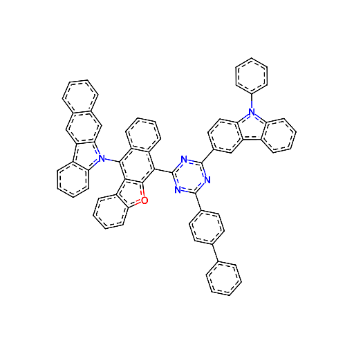 c1ccc(-c2ccc(-c3nc(-c4ccc5c(c4)c4ccccc4n5-c4ccccc4)nc(-c4c5ccccc5c(-n5c6ccccc6c6cc7ccccc7cc65)c5c4oc4ccccc45)n3)cc2)cc1